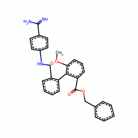 COc1cccc(C(=O)OCc2ccccc2)c1-c1ccccc1C(=O)Nc1ccc(C(=N)N)cc1